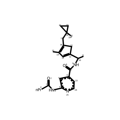 CCCC(=O)Nc1cc(C(=O)NC(C)C2=CC(C)=C(CC3(F)CC3)C2)ccn1